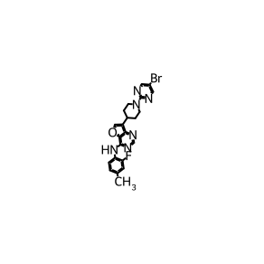 Cc1ccc(Nc2ncnc3c(C4CCN(c5ncc(Br)cn5)CC4)coc23)c(F)c1